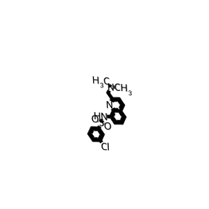 CN(C)Cc1ccc2cccc(NS(=O)(=O)c3cccc(Cl)c3)c2n1